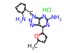 Cc1ccc(-c2nc(N)nc3c2nnn3Cc2ccccc2N)o1.Cl